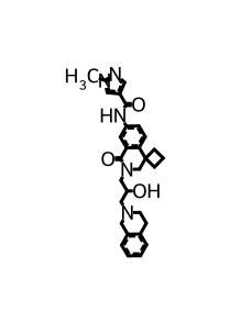 Cn1cc(C(=O)Nc2ccc3c(c2)C(=O)N(CC(O)CN2CCc4ccccc4C2)CC32CCC2)cn1